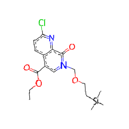 CCOC(=O)c1cn(COCC[Si](C)(C)C)c(=O)c2nc(Cl)ccc12